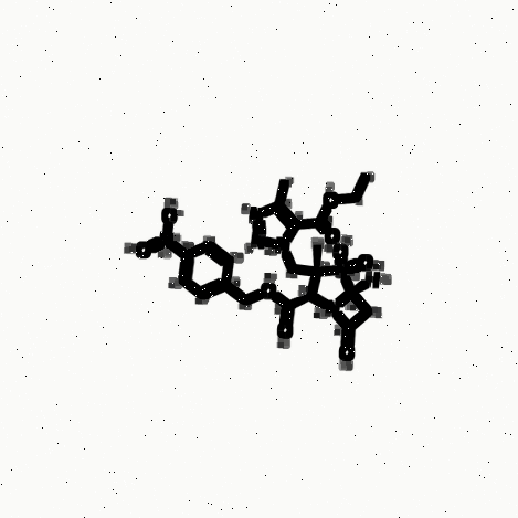 CCOC(=O)c1c(C)nnn1C[C@@]1(C)[C@H](C(=O)OCc2ccc([N+](=O)[O-])cc2)N2C(=O)C[C@H]2S1(=O)=O